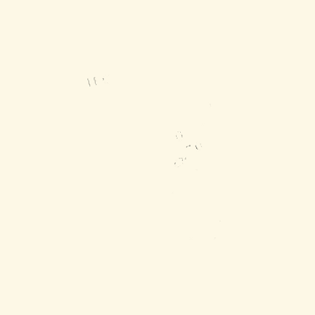 CCCCCc1ccccc1OC(=O)OCCc1ccccc1